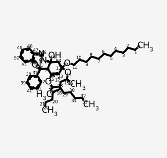 CCCCCCCCCCCCOC1(OC(C)CCCCCC)C=C(OC(C)CCCCCC)C(C(=O)c2ccccc2)C(O)(n2nc3ccccc3n2)C1